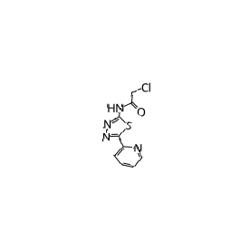 O=C(CCl)Nc1nnc(-c2ccccn2)s1